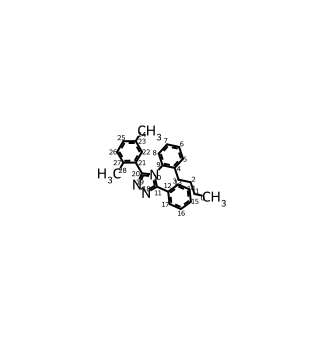 CCCCc1ccccc1-n1c(-c2ccccc2)nnc1-c1cc(C)ccc1C